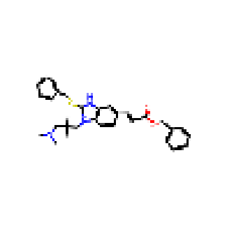 CN(C)CC(C)(C)CN1c2ccc(/C=C/C(=O)OCc3ccccc3)cc2NC1SCc1ccccc1